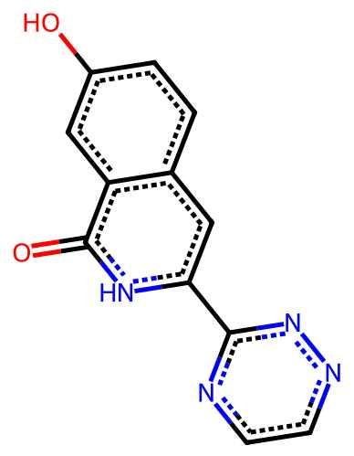 O=c1[nH]c(-c2nccnn2)cc2ccc(O)cc12